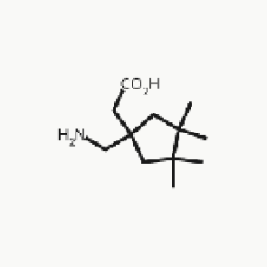 CC1(C)CC(CN)(CC(=O)O)CC1(C)C